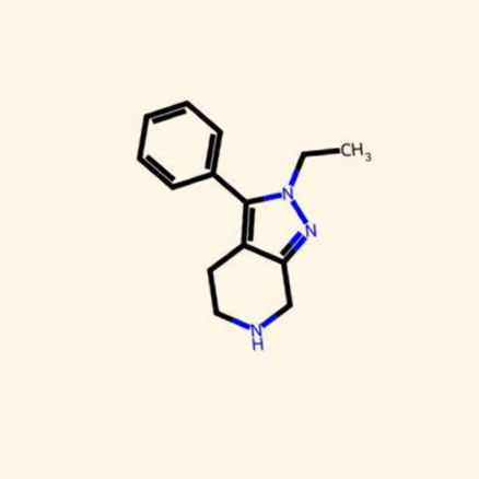 CCn1nc2c(c1-c1ccccc1)CCNC2